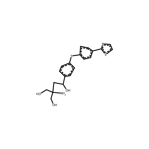 NC(CO)(CO)CC(O)c1ccc(Sc2ccc(-c3nccs3)cc2)cc1